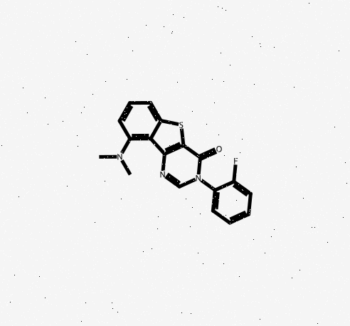 CN(C)c1cccc2sc3c(=O)n(-c4ccccc4F)cnc3c12